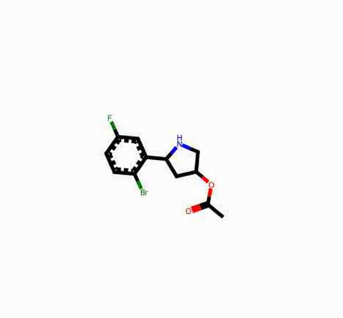 CC(=O)OC1CNC(c2cc(F)ccc2Br)C1